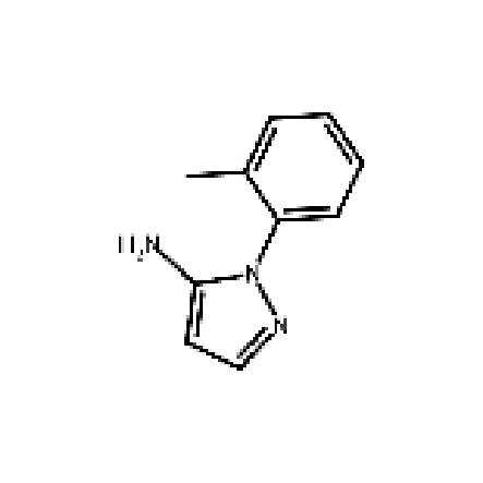 Cc1ccccc1-n1nccc1N